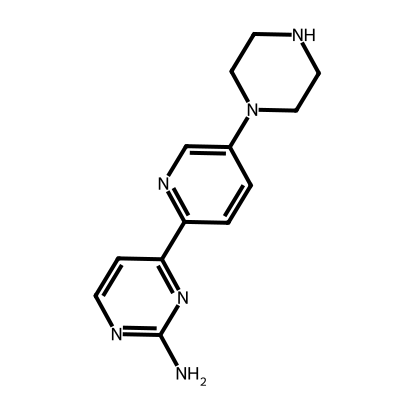 Nc1nccc(-c2ccc(N3CCNCC3)cn2)n1